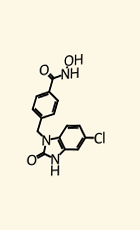 O=C(NO)c1ccc(Cn2c(=O)[nH]c3cc(Cl)ccc32)cc1